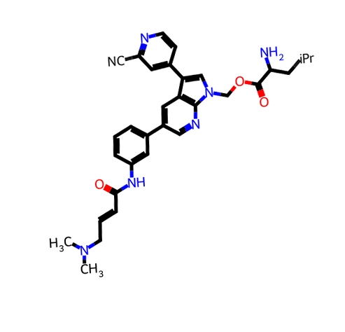 CC(C)CC(N)C(=O)OCn1cc(-c2ccnc(C#N)c2)c2cc(-c3cccc(NC(=O)C=CCN(C)C)c3)cnc21